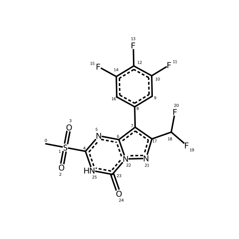 CS(=O)(=O)c1nc2c(-c3cc(F)c(F)c(F)c3)c(C(F)F)nn2c(=O)[nH]1